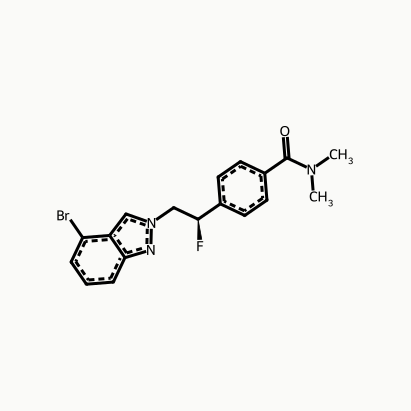 CN(C)C(=O)c1ccc([C@@H](F)Cn2cc3c(Br)cccc3n2)cc1